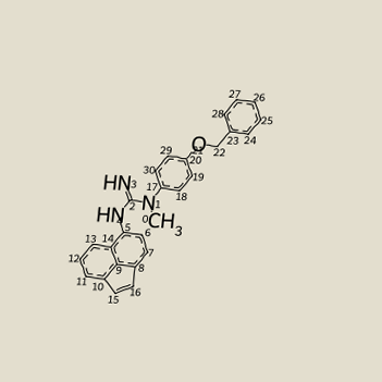 CN(C(=N)Nc1ccc2c3c(cccc13)C=C2)c1ccc(OCc2ccccc2)cc1